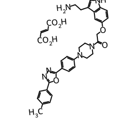 Cc1ccc(-c2nnc(-c3ccc(N4CCN(C(=O)COc5ccc6[nH]cc(CCN)c6c5)CC4)cc3)o2)cc1.O=C(O)C=CC(=O)O